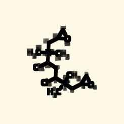 C[N+](C)(CC1CO1)C(Cl)CC(Cl)[N+](C)(C)CC1CO1